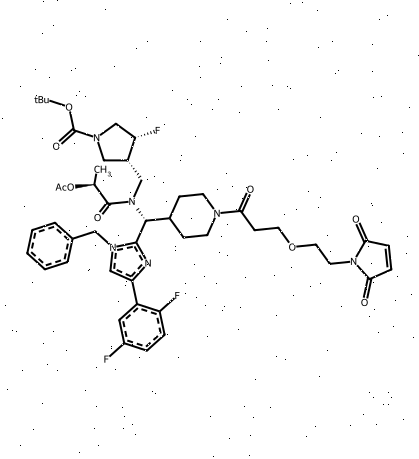 CC(=O)O[C@@H](C)C(=O)N(C[C@@H]1CN(C(=O)OC(C)(C)C)C[C@@H]1F)[C@@H](c1nc(-c2cc(F)ccc2F)cn1Cc1ccccc1)C1CCN(C(=O)CCOCCN2C(=O)C=CC2=O)CC1